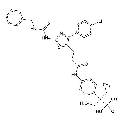 CCC(CC)(c1ccc(NC(=O)CCc2sc(NC(=S)NCc3ccccc3)nc2-c2ccc(Cl)cc2)cc1)P(=O)(O)O